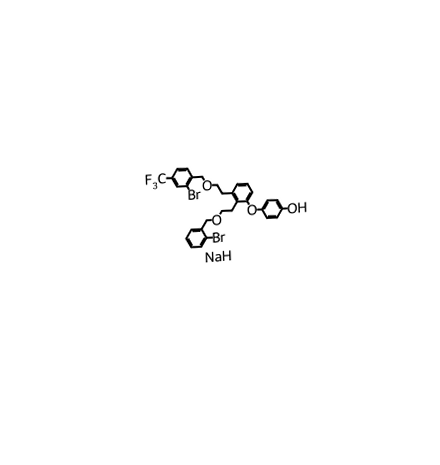 Oc1ccc(Oc2cccc(CCOCc3ccc(C(F)(F)F)cc3Br)c2CCOCc2ccccc2Br)cc1.[NaH]